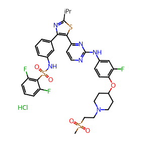 CC(C)c1nc(-c2cccc(NS(=O)(=O)c3c(F)cccc3F)c2)c(-c2ccnc(Nc3ccc(OC4CCN(CCS(C)(=O)=O)CC4)c(F)c3)n2)s1.Cl